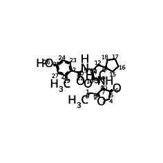 CC[C@@H]1OCC(=O)[C@H]1NC(=O)[C@H](CC1(C)CCCC1)NC(=O)c1ccc(O)cc1C